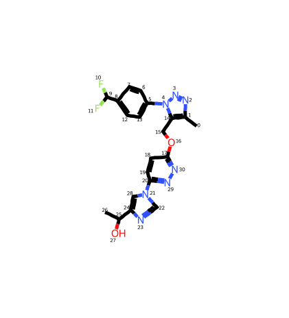 Cc1nnn(-c2ccc(C(F)F)cc2)c1COc1ccc(-n2cnc(C(C)O)c2)nn1